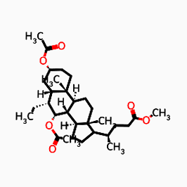 CC[C@H]1[C@@H](OC(C)=O)[C@@H]2[C@H](CC[C@]3(C)C([C@H](C)CCC(=O)OC)CC[C@@H]23)[C@@]2(C)CC[C@@H](OC(C)=O)C[C@@H]12